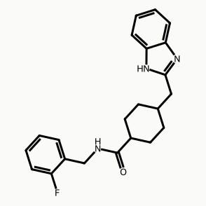 O=C(NCc1ccccc1F)C1CCC(Cc2nc3ccccc3[nH]2)CC1